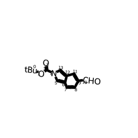 CC(C)(C)OC(=O)n1cc2ccc(C=O)cc2c1